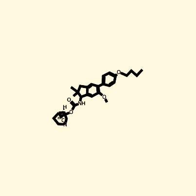 CCCCOc1ccc(-c2cc3c(cc2OC)C(NC(=O)O[C@H]2CN4CCC2CC4)C(C)(C)C3)cc1